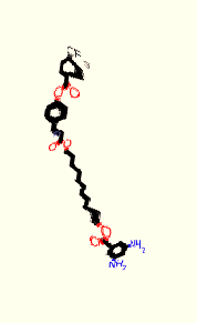 Nc1cc(N)cc(C(=O)OCCCCCCCCCCCOC(=O)/C=C/c2ccc(OC(=O)C3CCC(C(F)(F)F)CC3)cc2)c1